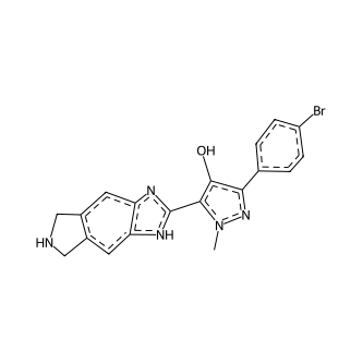 Cn1nc(-c2ccc(Br)cc2)c(O)c1-c1nc2cc3c(cc2[nH]1)CNC3